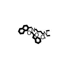 CCN(CC)CCCCN(Cc1ccc2ccccc2c1)C(=O)c1cc2cccc(OC)c2o1